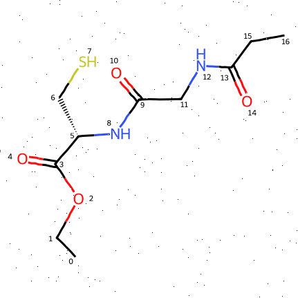 CCOC(=O)[C@H](CS)NC(=O)CNC(=O)CC